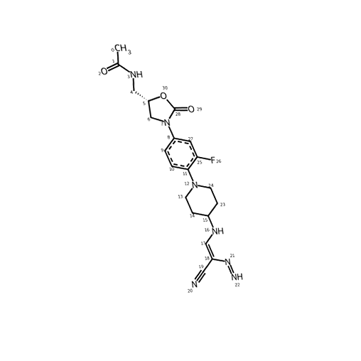 CC(=O)NC[C@H]1CN(c2ccc(N3CCC(N/C=C(/C#N)N=N)CC3)c(F)c2)C(=O)O1